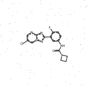 O=C(Nc1ccc(F)c(-c2nc3ncc(Cl)cn3n2)c1)N1CCC1